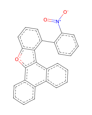 O=[N+]([O-])c1ccccc1-c1cccc2oc3c4ccccc4c4ccccc4c3c12